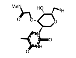 [2H]C[C@H]1OC[C@@H](n2cc(C)c(=O)[nH]c2=O)[C@H](OCC(=O)NC)[C@@H]1O